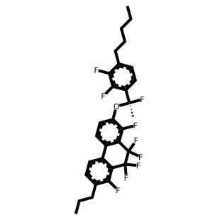 CCCCCc1ccc([C@@](C)(F)Oc2ccc3c(c2F)C(F)(F)C(F)(F)c2c-3ccc(CCC)c2F)c(F)c1F